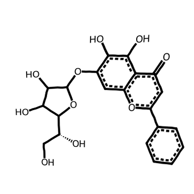 O=c1cc(-c2ccccc2)oc2cc(OC3OC([C@H](O)CO)C(O)C3O)c(O)c(O)c12